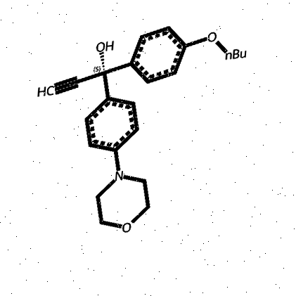 C#C[C@@](O)(c1ccc(OCCCC)cc1)c1ccc(N2CCOCC2)cc1